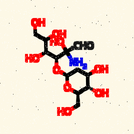 N[C@](O)(C=O)[C@@H](O[C@H]1C[C@@H](O)[C@H](O)[C@@H](CO)O1)[C@@H](O)[C@H](O)CO